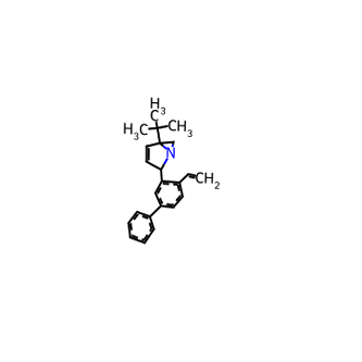 C=Cc1ccc(-c2ccccc2)cc1C1C=CC2(C(C)(C)C)CN12